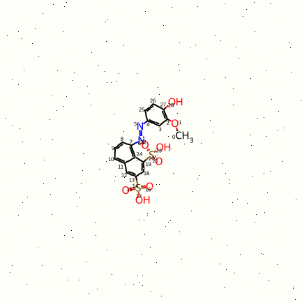 COc1cc(N=Nc2cccc3cc(S(=O)(=O)O)cc(S(=O)(=O)O)c23)ccc1O